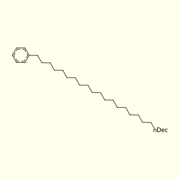 CCCCCCCCCCCCCCCCCCCCCCCCCCCCCc1[c]cccc1